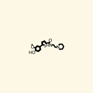 COc1cc(-c2ccc(C(=O)NCCN3CCCCC3)s2)ccc1O